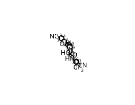 COc1cc(C#N)ccc1CC12CC3CN(CC(C)(O)C(=O)Nc4ccc(C#N)c(C(F)(F)F)c4)CC(C1)C32